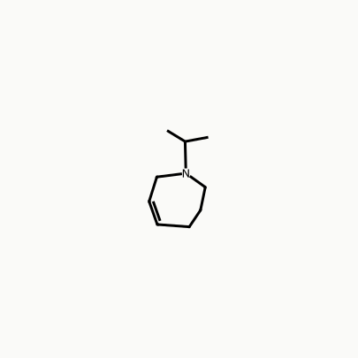 CC(C)N1CC=CCCC1